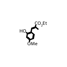 CCOC(=O)C(C)=Cc1ccc(OC)cc1O